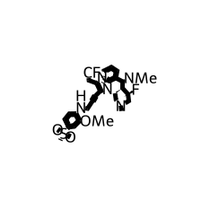 CN[C@H](c1cccn2c(CC(F)(F)F)c(C#CCNc3ccc(S(C)(=O)=O)cc3OC)nc12)[C@H]1CCN(C)C[C@@H]1F